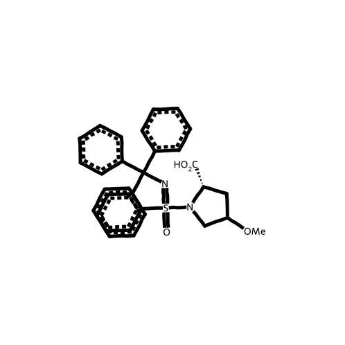 COC1C[C@@H](C(=O)O)N(S(=O)(=NC(c2ccccc2)(c2ccccc2)c2ccccc2)c2ccccc2)C1